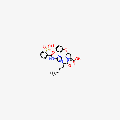 CCCCC(C(=O)N1CC(Oc2ccccc2)C[C@H]1C(=O)O)n1cnc(NC(=O)c2ccccc2S(=O)(=O)O)c1